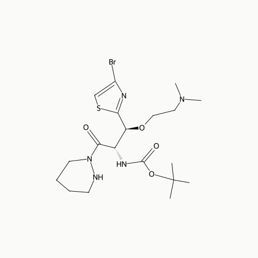 CN(C)CCO[C@H](c1nc(Br)cs1)[C@H](NC(=O)OC(C)(C)C)C(=O)N1CCCCN1